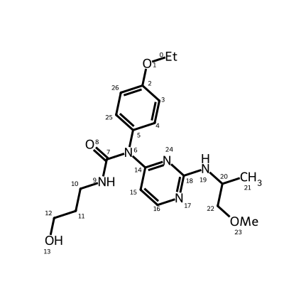 CCOc1ccc(N(C(=O)NCCCO)c2ccnc(NC(C)COC)n2)cc1